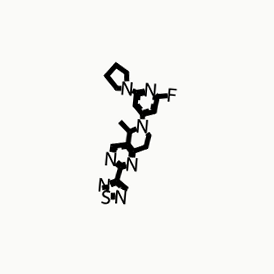 CC1c2cnc(-c3cnsn3)nc2CCN1c1cc(F)nc(N2CCCC2)c1